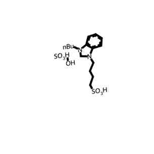 CCCCN1CN(CCCCS(=O)(=O)O)c2ccccc21.O=S(=O)(O)O